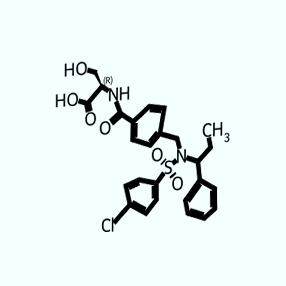 CCC(c1ccccc1)N(Cc1ccc(C(=O)N[C@H](CO)C(=O)O)cc1)S(=O)(=O)c1ccc(Cl)cc1